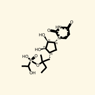 CCC(C)(C[C@H]1C[C@@H](n2ccc(=O)[nH]c2=O)[C@H](O)[C@@H]1O)OP(=O)(O)C(C)O